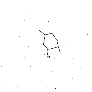 CC1CSC(C)N(C(C)C)C1